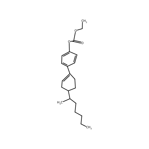 CCCCCC(C)C1CC=C(c2ccc(OC(=O)OCC)cc2)CC1